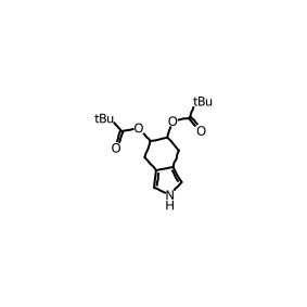 CC(C)(C)C(=O)OC1Cc2c[nH]cc2CC1OC(=O)C(C)(C)C